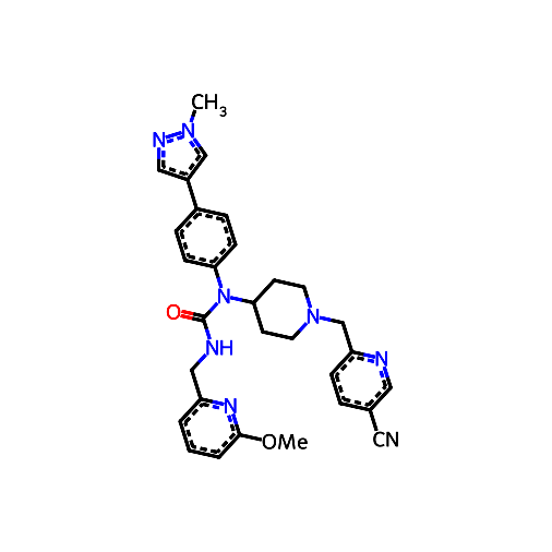 COc1cccc(CNC(=O)N(c2ccc(-c3cnn(C)c3)cc2)C2CCN(Cc3ccc(C#N)cn3)CC2)n1